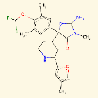 Cc1coc(C2CC(C3(c4cc(C)c(OC(F)F)c(C)c4)N=C(N)N(C)C3=O)CCN2)c1